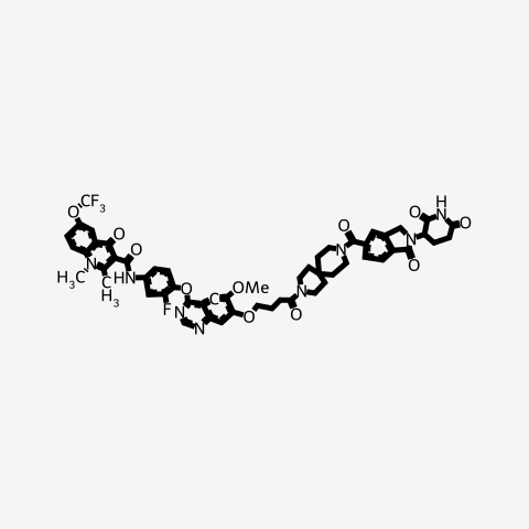 COc1cc2c(Oc3ccc(NC(=O)c4c(C)n(C)c5ccc(OC(F)(F)F)cc5c4=O)cc3F)ncnc2cc1OCCCC(=O)N1CCC2(CC1)CCN(C(=O)c1ccc3c(c1)CN(C1CCC(=O)NC1=O)C3=O)CC2